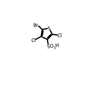 O=S(=O)(O)c1c(Cl)sc(Br)c1Cl